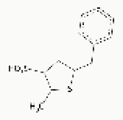 CC1SC(Cc2ccccc2)CC1S(=O)(=O)O